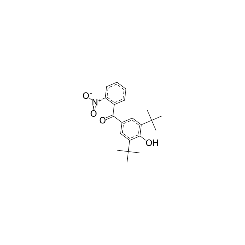 CC(C)(C)c1cc(C(=O)c2ccccc2[N+](=O)[O-])cc(C(C)(C)C)c1O